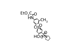 CCOC(=O)C(=O)Nc1cc(C)c(Oc2ccc(O)c(S(=O)(=O)N3CCCC3)c2)c(C)c1